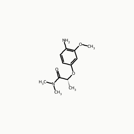 COc1cc(O[C@H](C)C(=O)N(C)C)ccc1N